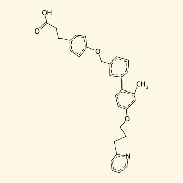 Cc1cc(OCCCc2ccccn2)ccc1-c1cccc(COc2ccc(CCC(=O)O)cc2)c1